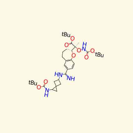 CC(C)(C)OC(=O)NO[C@](C)(C(=O)OC(C)(C)C)[C@H]1CCCc2cc(C(=N)NC3CC4(C3)CC4NC(=O)OC(C)(C)C)ccc2O1